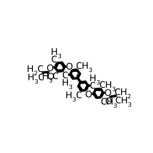 C=C(C)C(=O)Oc1c(C)cc(Oc2c(C)cc(-c3cc(C)c(Oc4cc(C)c(OC(=O)C(=C)C)c(C)c4)c(C)c3)cc2C)cc1C